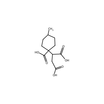 CC1CCC(C(=O)O)(C(CC(=O)O)C(=O)O)CC1